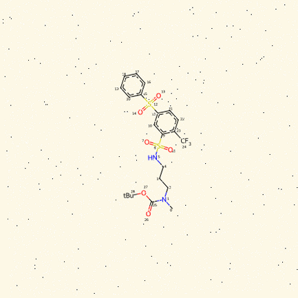 CN(CCCNS(=O)(=O)c1cc(S(=O)(=O)c2ccccc2)ccc1C(F)(F)F)C(=O)OC(C)(C)C